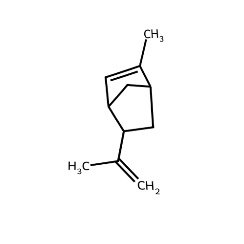 C=C(C)C1CC2CC1C=C2C